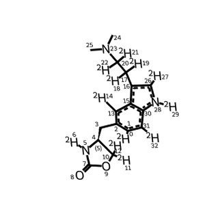 [2H]c1c(C[C@@H]2N([2H])C(=O)OC2([2H])[2H])c([2H])c2c(C([2H])([2H])C([2H])([2H])N(C)C)c([2H])n([2H])c2c1[2H]